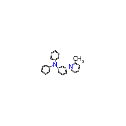 Cc1ccccn1.c1ccc(N(c2ccccc2)c2ccccc2)cc1